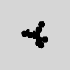 C1=CCCC(c2cc(-c3nc(-c4ccc(-c5ccccc5)cc4)nc(-c4ccc5c(c4)sc4ccccc45)n3)cc3oc4ccccc4c23)=C1